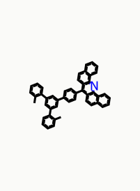 Cc1ccccc1-c1cc(-c2ccc(-c3c4ccc5ccccc5c4nc4c3ccc3ccccc34)cc2)cc(-c2ccccc2C)c1